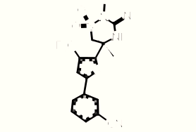 CN1C(=N)N[C@](C)(c2sc(-c3cccc(C#N)c3)cc2C(F)(F)F)CS1(=O)=O